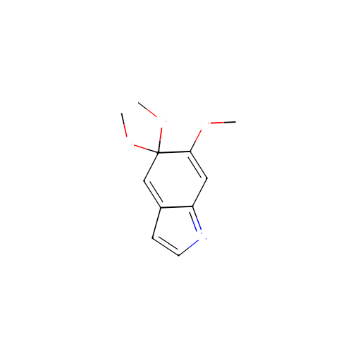 COC1=CC2=NC=CC2=CC1(OC)OC